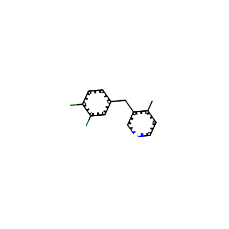 Cc1ccncc1[CH]c1ccc(F)c(F)c1